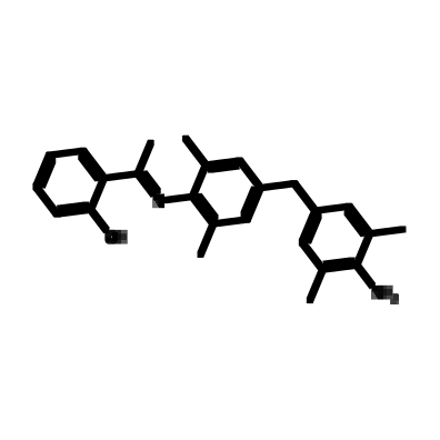 C/C(=N\c1c(C)cc(Cc2cc(C)c(N)c(C)c2)cc1C)c1ccccc1O